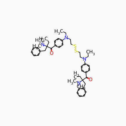 CCN(CCSSCCN(CC)c1ccc(C(=O)C(CC)(Cc2ccccc2)N(C)C)cc1)c1ccc(C(=O)C(CC)(Cc2ccccc2)N(C)C)cc1